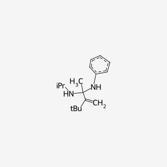 C=C(C(C)(C)C)C(C)(Nc1ccccc1)NC(C)C